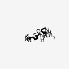 C[C@H]1[C@H](NC(=O)c2ccc(-c3nncs3)s2)C2CCN1CC2